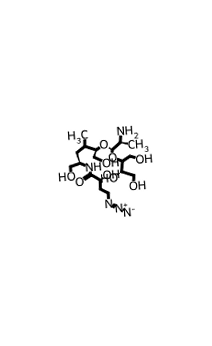 CC(C[C@H](CO)NC(=O)[C@@H](O)CCN=[N+]=[N-])[C@H](CO)O[C@@H](OC(CO)[C@@H](O)CO)[C@H](C)N